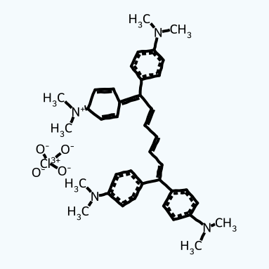 CN(C)c1ccc(C(=C/C=C/C=C/C(=C2C=CC(=[N+](C)C)C=C2)c2ccc(N(C)C)cc2)c2ccc(N(C)C)cc2)cc1.[O-][Cl+3]([O-])([O-])[O-]